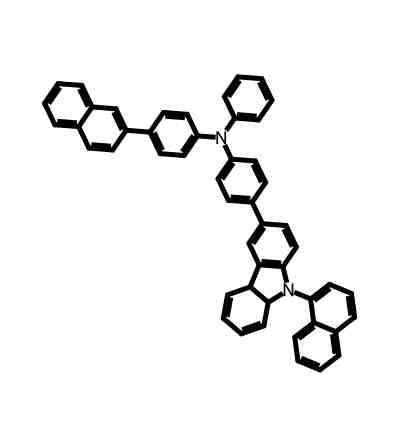 C1=CC2c3cc(-c4ccc(N(c5ccccc5)c5ccc(-c6ccc7ccccc7c6)cc5)cc4)ccc3N(c3cccc4ccccc34)C2C=C1